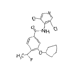 CC(F)c1ccc(C(=O)Nc2c(Cl)cncc2Cl)cc1OC1CCCC1